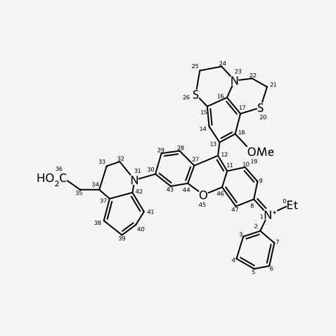 CC/[N+](c1ccccc1)=c1\ccc2c(-c3cc4c5c(c3OC)SCCN5CCS4)c3ccc(N4CCC(CC(=O)O)c5ccccc54)cc3oc-2c1